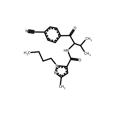 CCCCn1nc(C)cc1C(=O)NC(C(=O)c1ccc(C#N)cc1)C(C)C